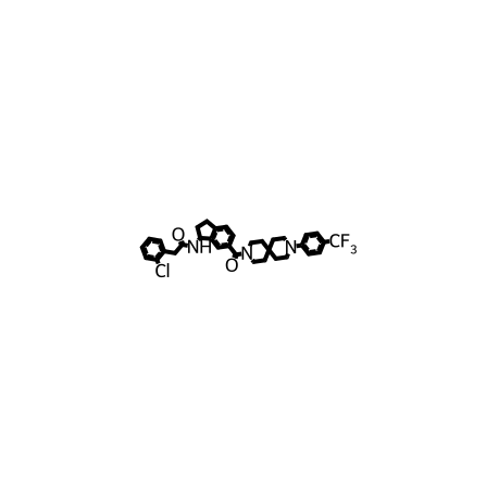 O=C(Cc1ccccc1Cl)NC1CCc2ccc(C(=O)N3CCC4(CC3)CCN(c3ccc(C(F)(F)F)cc3)CC4)cc21